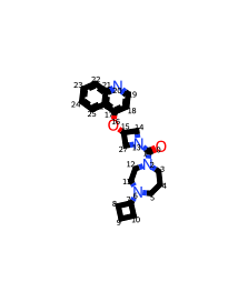 O=C(N1CCCN(C2CCC2)CC1)N1CC(Oc2ccnc3ccccc23)C1